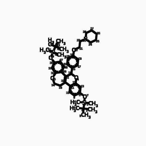 CC(C)(C)[Si](C)(C)Oc1ccc2c(c1)OC(c1ccc(OCCN3CCCCC3)cc1)C1=C2CCOc2cc(O[Si](C)(C)C(C)(C)C)ccc21